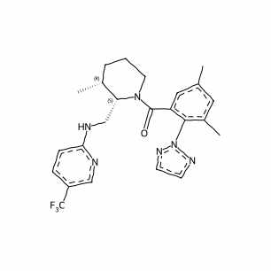 Cc1cc(C)c(-n2nccn2)c(C(=O)N2CCC[C@@H](C)[C@H]2CNc2ccc(C(F)(F)F)cn2)c1